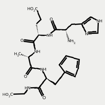 C[C@H](NC(=O)[C@H](CCC(=O)O)NC(=O)[C@@H](N)Cc1c[nH]cn1)C(=O)N[C@@H](Cc1ccccc1)C(=O)NCC(=O)O